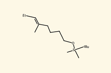 CC/C=C(\C)CCCCO[Si](C)(C)C(C)(C)C